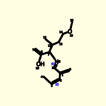 C=C(/C=C\C)/C=N/C(C(=C)O)C(C)CCOC